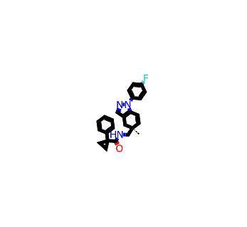 C[C@@]1(CNC(=O)C2(c3ccccc3)CC2)C=Cc2c(cnn2-c2ccc(F)cc2)C1